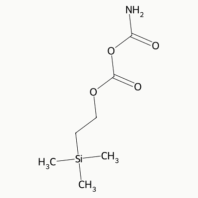 C[Si](C)(C)CCOC(=O)OC(N)=O